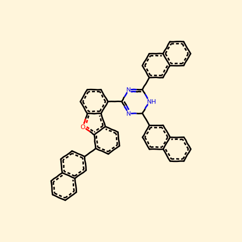 c1ccc2cc(C3=NC(c4cccc5oc6c(-c7ccc8ccccc8c7)cccc6c45)=NC(c4ccc5ccccc5c4)N3)ccc2c1